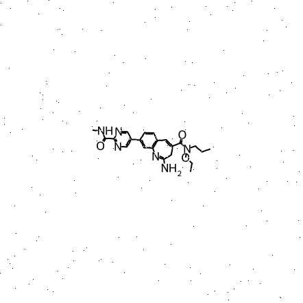 CCCN(OCC)C(=O)C1=Cc2ccc(-c3cnc(C(=O)NC)nc3)cc2N=C(N)C1